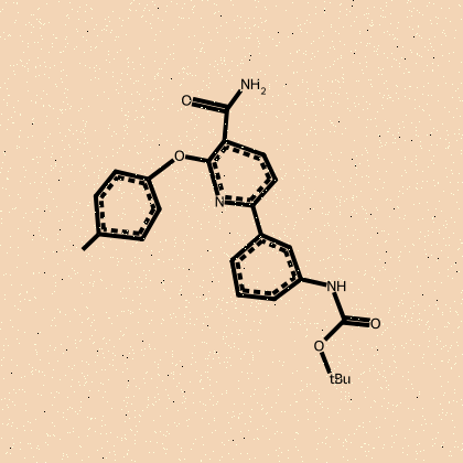 Cc1ccc(Oc2nc(-c3cccc(NC(=O)OC(C)(C)C)c3)ccc2C(N)=O)cc1